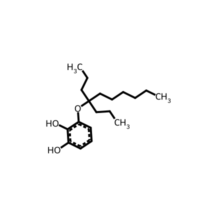 CCCCCCC(CCC)(CCC)Oc1cccc(O)c1O